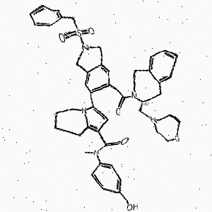 CN(C(=O)c1cc(-c2cc3c(cc2C(=O)N2Cc4ccccc4C[C@H]2CN2CCOCC2)CN(S(=O)(=O)Cc2ccccc2)C3)n2c1CCCC2)c1ccc(O)cc1